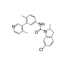 Cc1ccncc1-c1cc(NC(=O)N2c3cc(Cl)ccc3CC2C)ccc1C